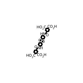 O=C(Nc1ccc(S(=O)(=O)c2ccc(NC(=O)c3ccc(C(=O)O)c(C(=O)O)c3)cc2)cc1)c1ccc(C(=O)O)c(C(=O)O)c1